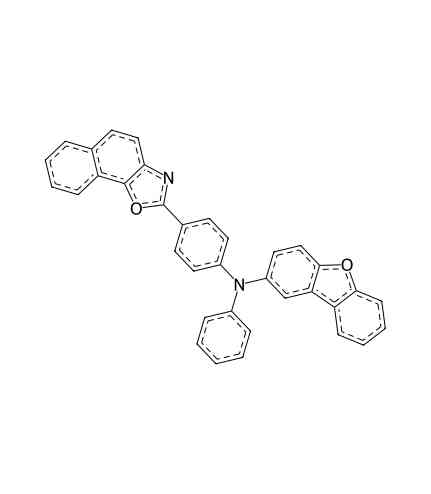 c1ccc(N(c2ccc(-c3nc4ccc5ccccc5c4o3)cc2)c2ccc3oc4ccccc4c3c2)cc1